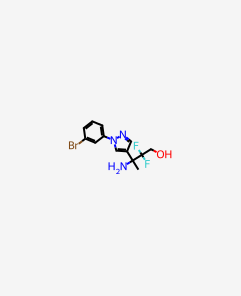 CC(N)(c1cnn(-c2cccc(Br)c2)c1)C(F)(F)CO